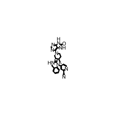 N#Cc1cc([N+]2(CC3CCN(c4ncnc5[nH]c(=O)[nH]c45)CC3)C(=O)NCc3ccccc32)ccn1